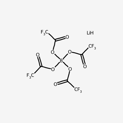 O=C(O[B-](OC(=O)C(F)(F)F)(OC(=O)C(F)(F)F)OC(=O)C(F)(F)F)C(F)(F)F.[LiH]